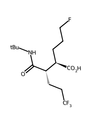 CC(C)(C)NC(=O)[C@@H](CCC(F)(F)F)[C@@H](CCCF)C(=O)O